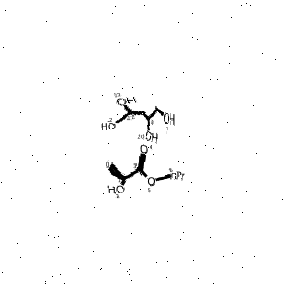 C=C(O)C(=O)OCCC.OCC(O)C(O)O